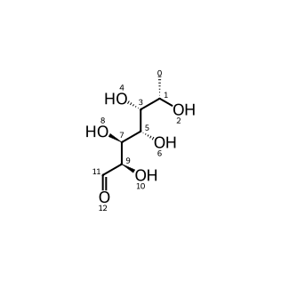 C[C@H](O)[C@@H](O)[C@H](O)[C@H](O)[C@@H](O)C=O